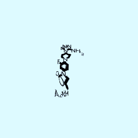 CC(=O)NCC1CN(c2ccc(N3CCC(n4nnnc4N)CC3)c(F)c2)C(=O)O1